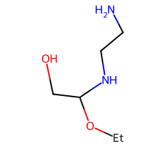 CCOC(CO)NCCN